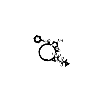 CC1(S(=O)(=O)NC(=O)[C@@]23CC2/C=C\CCCCC[C@H](Nc2ccccc2)C(=O)N2C[C@H](O)C[C@H]2C(=O)N3)CC1